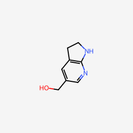 OCc1cnc2c(c1)CCN2